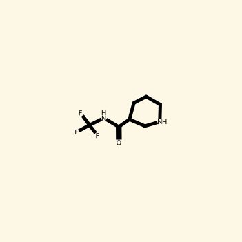 O=C(NC(F)(F)F)C1CCCNC1